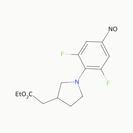 CCOC(=O)CC1CCN(c2c(F)cc(N=O)cc2F)C1